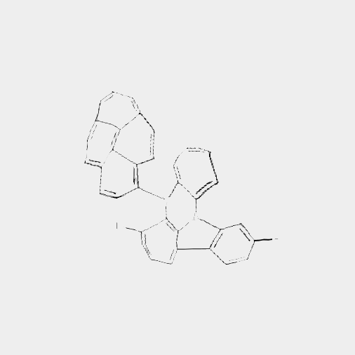 Fc1ccc2c(c1)B1c3ccccc3N(c3ccc4ccc5cccc6ccc3c4c56)c3c(F)ccc-2c31